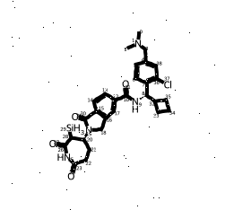 CN(C)Cc1ccc([C@@H](NC(=O)c2ccc3c(c2)CN([C@H]2CCC(=O)NC(=O)C2[SiH3])C3=O)C2CCC2)c(Cl)c1